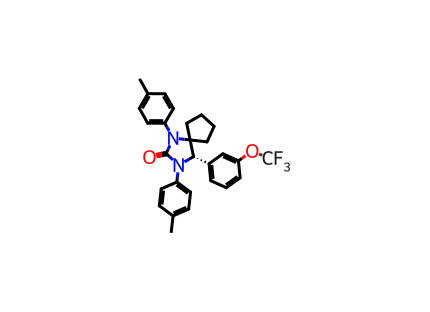 Cc1ccc(N2C(=O)N(c3ccc(C)cc3)C3(CCCC3)[C@@H]2c2cccc(OC(F)(F)F)c2)cc1